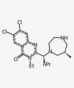 CCC[C@@H](c1nc2cc(Cl)c(Cl)cc2c(=O)n1CC)N1CCNC[C@@H](C)C1